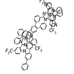 N#Cc1ccc2c(c1)c1ccccc1n2-c1ccc(C(F)(F)F)cc1-c1nc(-c2cccc(-c3cc4c5ccc(-c6ccccc6)cc5n(-c5ccc(C(F)(F)F)cc5-c5nc(-c6ccccc6)nc(-c6cc(C(F)(F)F)ccc6-n6c7cc(-c8ccccc8)ccc7c7ccc(-c8ccccc8)cc76)n5)c4cc3-c3ccccc3)c2)nc(-c2cc(C(F)(F)F)ccc2-n2c3ccccc3c3cc(C#N)ccc32)n1